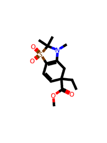 CCC1(C(=O)OC)C=CC2=C(C1)N(C)C(C)(C)S2(=O)=O